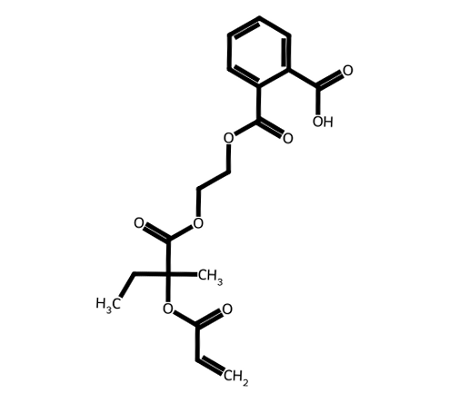 C=CC(=O)OC(C)(CC)C(=O)OCCOC(=O)c1ccccc1C(=O)O